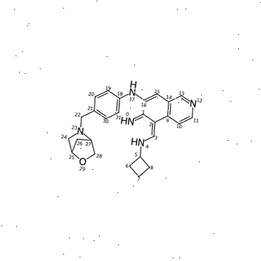 N=C/C(=C\NC1CCC1)c1ccncc1/C=C/Nc1ccc(CN2CC3CC2CO3)cc1